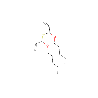 C=CC(OCCCCC)SC(C=C)OCCCCC